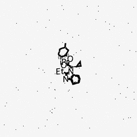 CCc1nc2ccccc2n1[C@@H](C(=O)O[C@@H]1CC(C)CC[C@H]1C(C)C)C1CC1